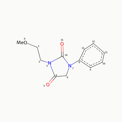 COCCN1C(=O)CN(c2ccccc2)C1=O